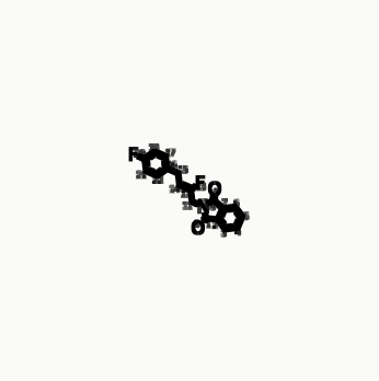 O=C1c2ccccc2C(=O)N1CC(F)=CCc1ccc(F)cc1